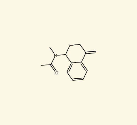 C=C1CCC(N(C)C(C)=O)c2ccccc21